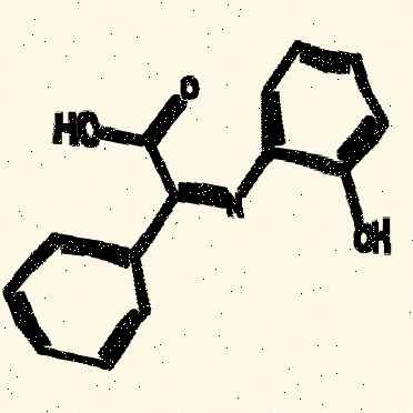 O=C(O)C(=Nc1ccccc1O)c1ccccc1